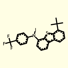 CC(C)(C)c1cccc2c1sc1c(N(I)c3ccc(C(F)(F)F)cc3)cccc12